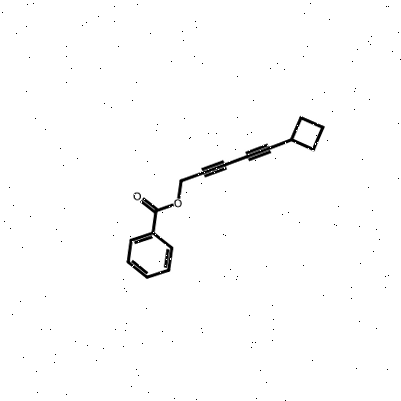 O=C(OCC#CC#CC1CCC1)c1ccccc1